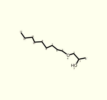 [CH2]C(O)COCCCCCCCCC